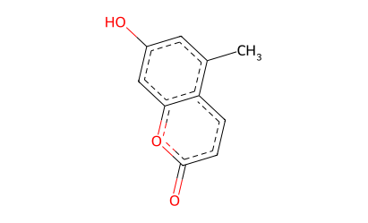 Cc1cc(O)cc2oc(=O)ccc12